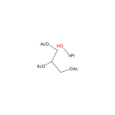 CC(=O)OCC(COC(C)=O)OC(C)=O.CCCO